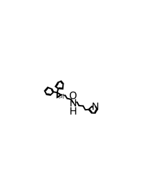 O=C(CC[C@H]1CC1(c1ccccc1)c1ccccc1)NCCCCc1cccnc1